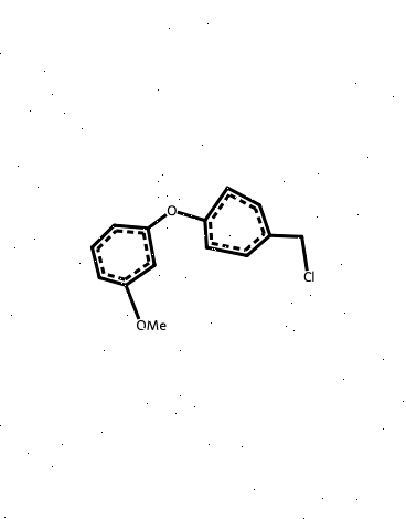 COc1cccc(Oc2ccc(CCl)cc2)c1